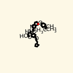 CC(C)(C)c1ccc(Oc2ccc3cnc(C(=O)NC(CC(=O)O)c4ccc(OCCC5CCCC5)cc4)cc3c2)cc1